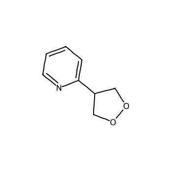 c1ccc(C2COOC2)nc1